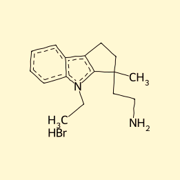 Br.CCn1c2c(c3ccccc31)CCC2(C)CCN